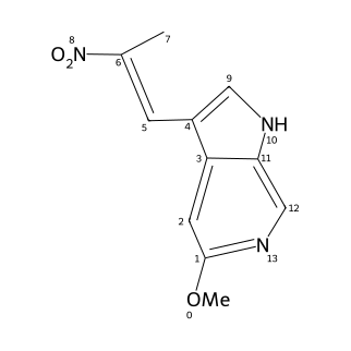 COc1cc2c(C=C(C)[N+](=O)[O-])c[nH]c2cn1